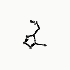 O=S(=O)(O)Cn1nnnc1[S]